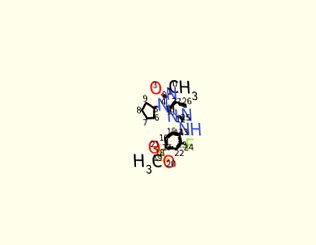 Cn1c(=O)n(C2CCCC2)c2nc(Nc3ccc(S(C)(=O)=O)cc3F)ncc21